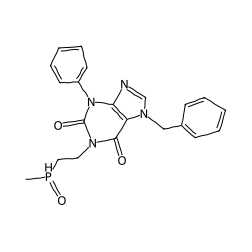 C[PH](=O)CCn1c(=O)c2c(ncn2Cc2ccccc2)n(-c2ccccc2)c1=O